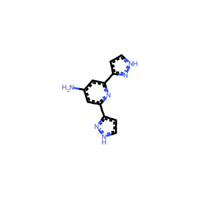 Nc1cc(-c2cc[nH]n2)nc(-c2cc[nH]n2)c1